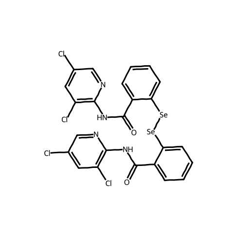 O=C(Nc1ncc(Cl)cc1Cl)c1ccccc1[Se][Se]c1ccccc1C(=O)Nc1ncc(Cl)cc1Cl